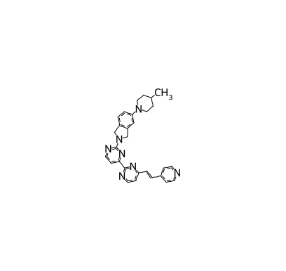 CC1CCN(c2ccc3c(c2)CN(c2nccc(-c4nccc(/C=C/c5ccncc5)n4)n2)C3)CC1